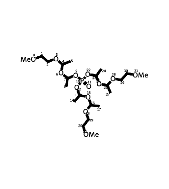 COCCOC(C)OC(C)OP(=O)(OC(C)OC(C)OCCOC)OC(C)OC(C)OCCOC